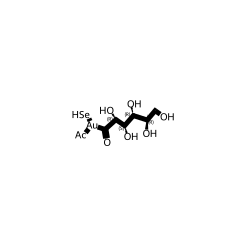 C[C](=O)[Au]([SeH])[C](=O)[C@H](O)[C@@H](O)[C@H](O)[C@H](O)CO